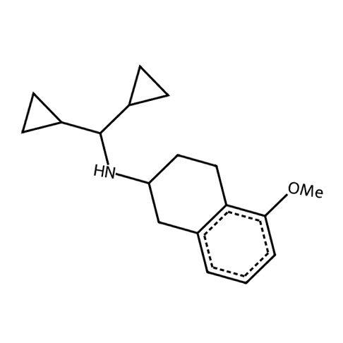 COc1cccc2c1CCC(NC(C1CC1)C1CC1)C2